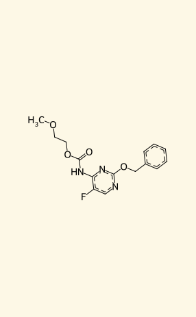 COCCOC(=O)Nc1nc(OCc2ccccc2)ncc1F